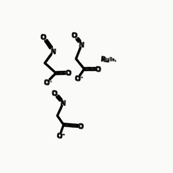 O=NCC(=O)[O-].O=NCC(=O)[O-].O=NCC(=O)[O-].[Ru+3]